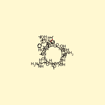 CC[C@H](C)C1NC(=O)[C@@H](CCCNC(=N)N)NC(=O)[C@H](CC(C)C)NC(=O)[C@H]([C@H](O)C(C)C)NC(=O)[C@@H](NC(=O)[C@H](CC(C)C)NC(=O)[C@@H](CCc2ccccc2)NC(=O)OC(C)(C)C)[C@@H](c2ccccc2)OC(=O)[C@H](CO)NC(=O)[C@H]([C@H](O)C(N)=O)NC(=O)CNC(=O)C([C@H](C)O)NC1=O